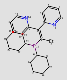 CCC(=C(c1ccccn1)c1ccccn1)P(C1CCCCC1)C1CCCCC1